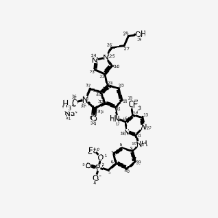 CCOP(=O)([O-])Cc1ccc(Nc2ncc(C(F)(F)F)c(Nc3ccc(-c4cnn(CCCO)c4)c4c3C(=O)N(C)C4)n2)cc1.[Na+]